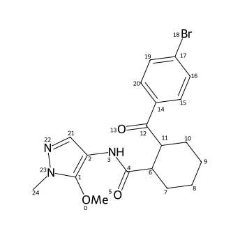 COc1c(NC(=O)C2CCCCC2C(=O)c2ccc(Br)cc2)cnn1C